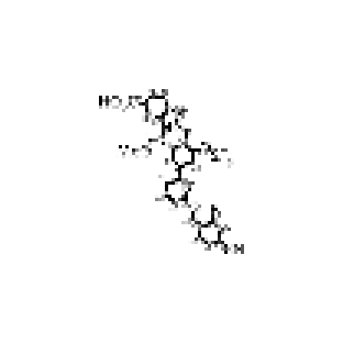 COCCn1c(Cc2ccc(-c3cccc(OCc4ccc(C#N)cc4F)n3)cc2OC(F)(F)F)nc2ccc(C(=O)O)cc21